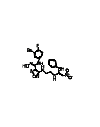 O=[N+]([O-])C=C(NCCNc1nonc1C(=NO)Nc1ccc(F)c(Br)c1)Nc1ccccc1